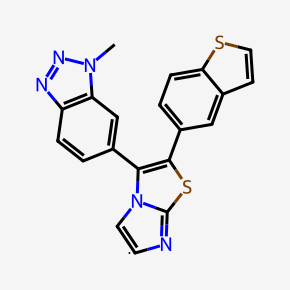 Cn1nnc2ccc(-c3c(-c4ccc5sccc5c4)sc4n[c]cn34)cc21